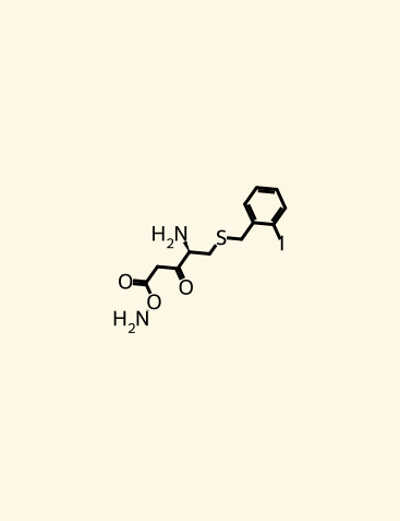 NOC(=O)CC(=O)[C@@H](N)CSCc1ccccc1I